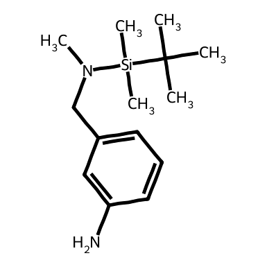 CN(Cc1cccc(N)c1)[Si](C)(C)C(C)(C)C